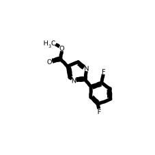 COC(=O)c1cnc(-c2cc(F)ccc2F)nc1